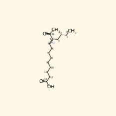 CCCC/C(=C\CCCCCCCC(=O)O)C(C)=O